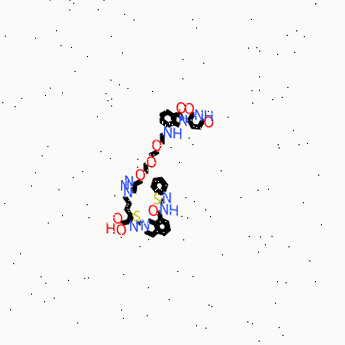 O=C1CCC(N2CC3=C(CCC=C3NCCOCCOCCOCc3cn(CCCc4sc(N5CCc6cccc(C(=O)Nc7nc8ccccc8s7)c6C5)nc4C(=O)O)nn3)C2=O)C(=O)N1